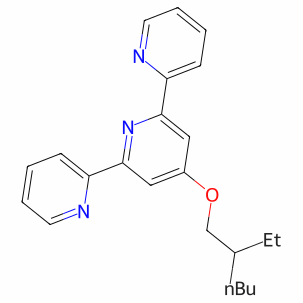 CCCCC(CC)COc1cc(-c2ccccn2)nc(-c2ccccn2)c1